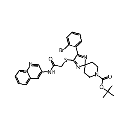 CC(C)(C)OC(=O)N1CCC2(CC1)N=C(SCC(=O)Nc1cnc3ccccc3c1)C(c1ccccc1Br)=N2